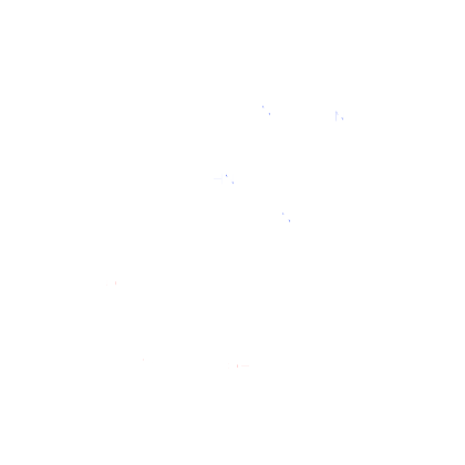 COc1cc(-c2nc3c(C)ncnc3[nH]2)cc(O)c1O